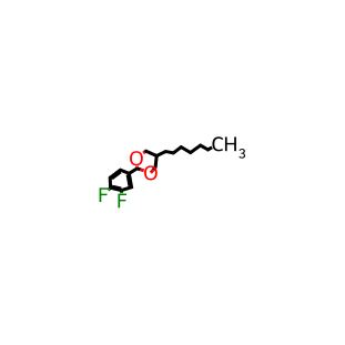 CCCCCCCC1COC(c2ccc(F)c(F)c2)OC1